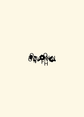 Cc1ccc(N(C=O)Nc2cccc(CN3CCN(S(C)(=O)=O)C[C@@H]3C)c2F)cn1